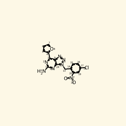 Nc1nc(-c2ccco2)c2nnn(Cc3ccc(Cl)cc3[N+](=O)[O-])c2n1